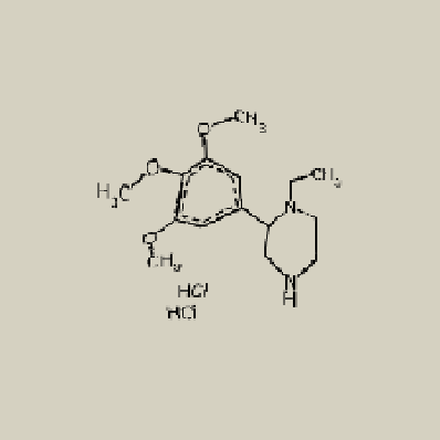 CCN1CCNCC1c1cc(OC)c(OC)c(OC)c1.Cl.Cl